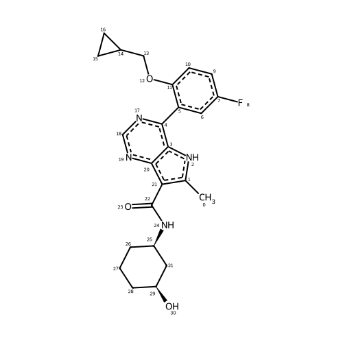 Cc1[nH]c2c(-c3cc(F)ccc3OCC3CC3)ncnc2c1C(=O)N[C@@H]1CCC[C@H](O)C1